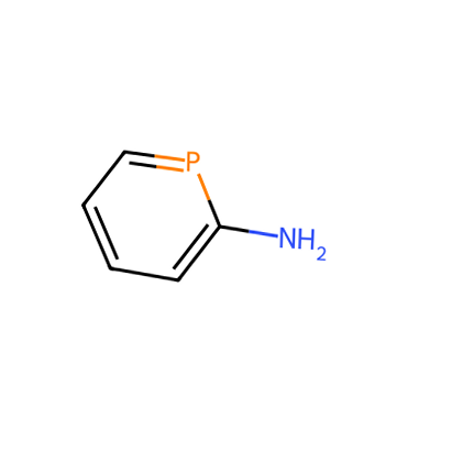 Nc1ccccp1